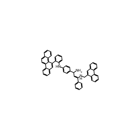 NC(/C=C(\NCc1cc2ccccc2c2ccccc12)c1ccccc1)c1ccc(Nc2ccccc2-c2cc3ccccc3c3ccc4ccccc4c23)cc1